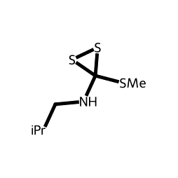 CSC1(NCC(C)C)SS1